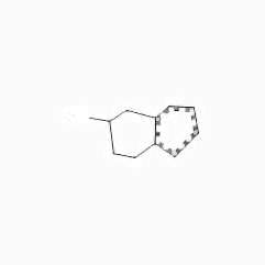 O=CC1CCc2ccccc2C1